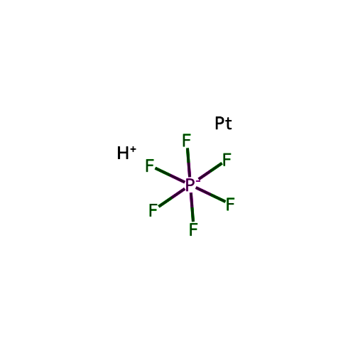 F[P-](F)(F)(F)(F)F.[H+].[Pt]